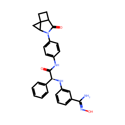 N/C(=N\O)c1cccc(N[C@H](C(=O)Nc2ccc(N3C(=O)C4CCC45CC35)cc2)c2ccccc2)c1